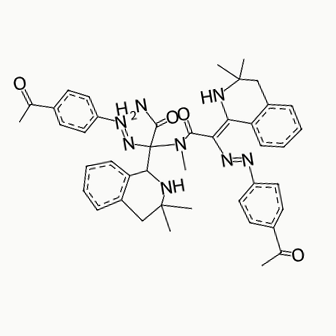 CC(=O)c1ccc(N=NC(C(=O)N(C)C(N=Nc2ccc(C(C)=O)cc2)(C(N)=O)C2NC(C)(C)Cc3ccccc32)=C2NC(C)(C)Cc3ccccc32)cc1